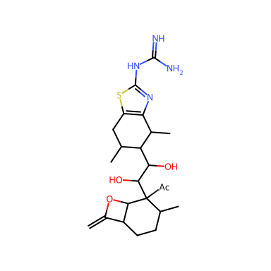 C=C1OC2C1CCC(C)C2(C(C)=O)C(O)C(O)C1C(C)Cc2sc(NC(=N)N)nc2C1C